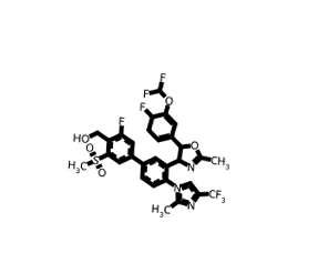 CC1=NC(c2cc(-c3cc(F)c(CO)c(S(C)(=O)=O)c3)ccc2-n2cc(C(F)(F)F)nc2C)C(C2=CCC(F)C(OC(F)F)=C2)O1